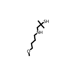 COCCCCNCC(C)(C)S